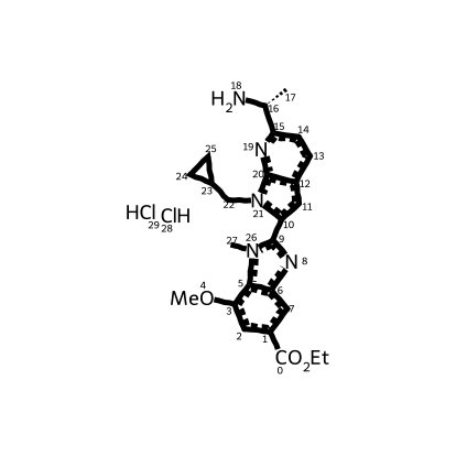 CCOC(=O)c1cc(OC)c2c(c1)nc(-c1cc3ccc([C@@H](C)N)nc3n1CC1CC1)n2C.Cl.Cl